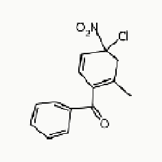 CC1=C(C(=O)c2ccccc2)C=CC(Cl)([N+](=O)[O-])C1